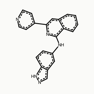 c1ccc2c(Nc3ccc4[nH]ncc4c3)nc(-c3ccncc3)cc2c1